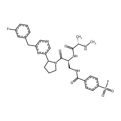 CN[C@@H](C)C(=O)N[C@@H](CNC(=O)c1ccc(S(=O)(=O)F)cc1)C(=O)N1CCCC1c1cncc(Cc2cccc(F)c2)n1